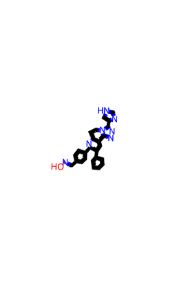 ON=Cc1ccc(-c2nc3ccn4c(-c5c[nH]cn5)nnc4c3cc2-c2ccccc2)cc1